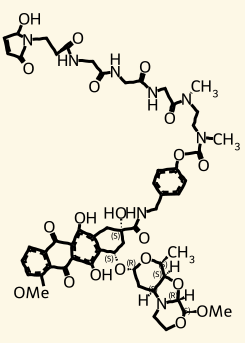 COc1cccc2c1C(=O)c1c(O)c3c(c(O)c1C2=O)C[C@@](O)(C(=O)NCc1ccc(OC(=O)N(C)CCN(C)C(=O)CNC(=O)CNC(=O)CNC(=O)CCN2C(=O)C=CC2O)cc1)C[C@@H]3O[C@H]1C[C@H]2[C@H](O[C@@H]3[C@@H](OC)OCCN32)[C@H](C)O1